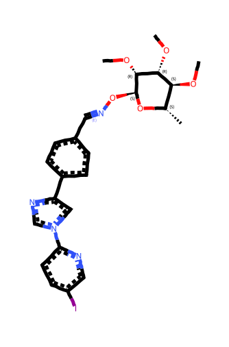 CO[C@@H]1[C@@H](OC)[C@H](C)O[C@@H](O/N=C/c2ccc(-c3cn(-c4ccc(I)cn4)cn3)cc2)[C@@H]1OC